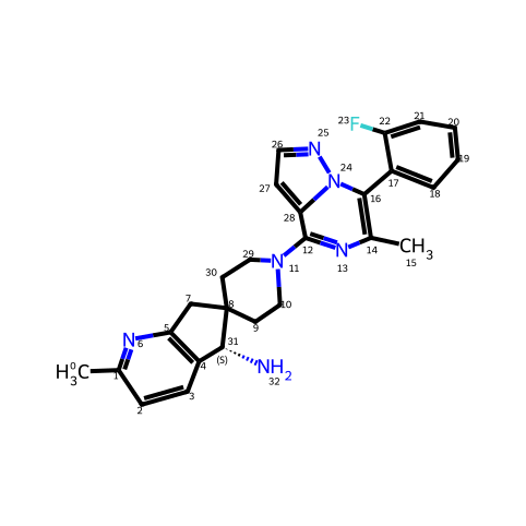 Cc1ccc2c(n1)CC1(CCN(c3nc(C)c(-c4ccccc4F)n4nccc34)CC1)[C@@H]2N